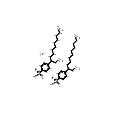 CCCCCCCCCC(CC)c1ccc(S(=O)(=O)[O-])cc1.CCCCCCCCCC(CC)c1ccc(S(=O)(=O)[O-])cc1.[Ca+2]